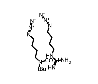 CC(C)(C)N(CCCCN=[N+]=[N-])C(=O)O.[N-]=[N+]=NCCCCNC(=N)N